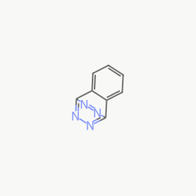 c1ccc2c3nnc(nn3)c2c1